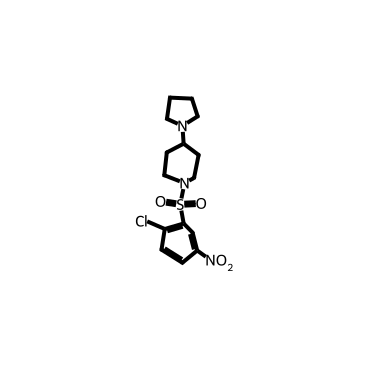 O=[N+]([O-])c1ccc(Cl)c(S(=O)(=O)N2CCC(N3CCCC3)CC2)c1